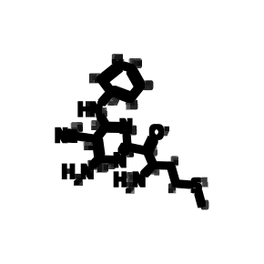 CSCCC(N)C(=O)c1nc(N)c(C#N)c(Nc2ccccc2)n1